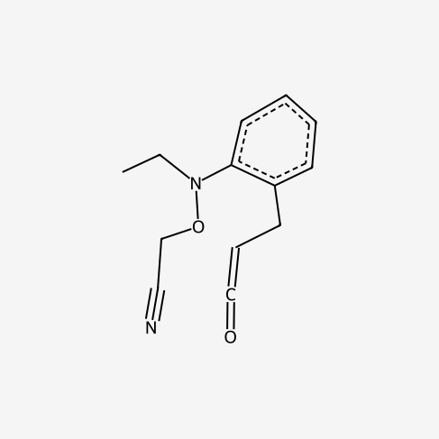 CCN(OCC#N)c1ccccc1CC=C=O